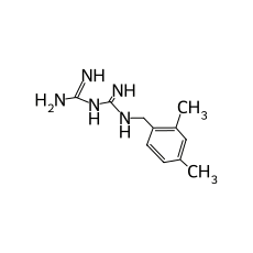 Cc1ccc(CNC(=N)NC(=N)N)c(C)c1